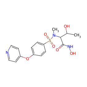 CC(O)C(C(=O)NO)N(C)S(=O)(=O)c1ccc(Oc2ccncc2)cc1